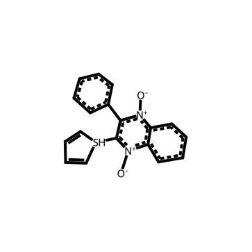 [O-][n+]1c(-c2ccccc2)c([SH]2C=CC=C2)[n+]([O-])c2ccccc21